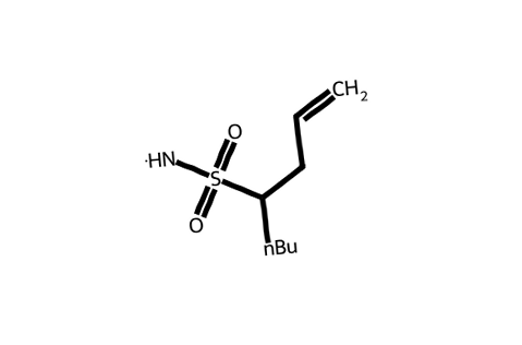 C=CCC(CCCC)S([NH])(=O)=O